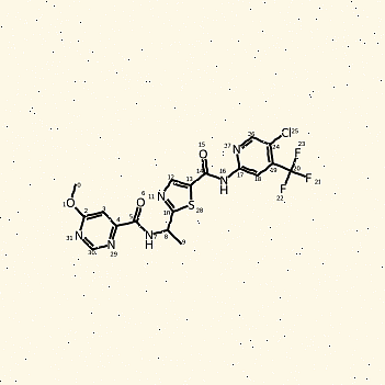 COc1cc(C(=O)NC(C)c2ncc(C(=O)Nc3cc(C(F)(F)F)c(Cl)cn3)s2)ncn1